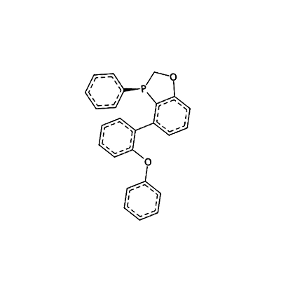 c1ccc(Oc2ccccc2-c2cccc3c2[P@@](c2ccccc2)CO3)cc1